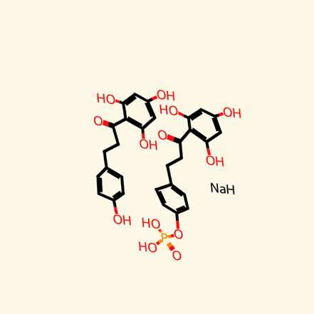 O=C(CCc1ccc(O)cc1)c1c(O)cc(O)cc1O.O=C(CCc1ccc(OP(=O)(O)O)cc1)c1c(O)cc(O)cc1O.[NaH]